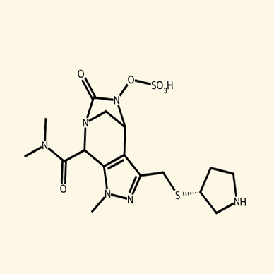 CN(C)C(=O)C1c2c(c(CS[C@@H]3CCNC3)nn2C)C2CN1C(=O)N2OS(=O)(=O)O